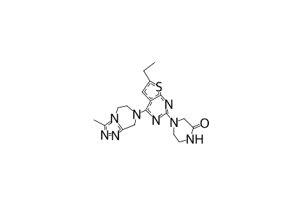 CCc1cc2c(N3CCn4c(C)nnc4C3)nc(N3CCNC(=O)C3)nc2s1